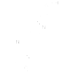 COCCn1cc(-c2cnc3ccc(Cl)nc3c2)cn1